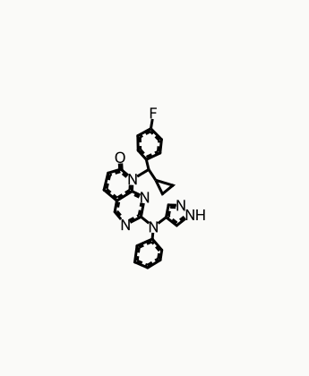 O=c1ccc2cnc(N(c3ccccc3)c3cn[nH]c3)nc2n1C(c1ccc(F)cc1)C1CC1